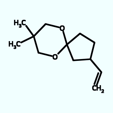 C=CC1CCC2(C1)OCC(C)(C)CO2